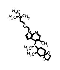 Cc1cnc2c(ccn2COCC[Si](C)(C)C)c1N(C)C1CCC2(CC1C)OCCO2